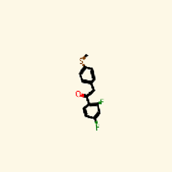 CSc1ccc(CC(=O)c2ccc(F)cc2F)cc1